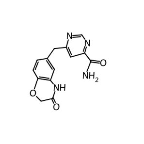 NC(=O)c1cc(Cc2ccc3c(c2)NC(=O)CO3)ncn1